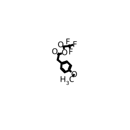 COc1ccc(CC(=O)OC(=O)C(F)(F)F)cc1